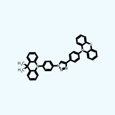 CC1(C)c2ccccc2N(c2ccc(-n3cc(-c4ccc(N5c6ccccc6Sc6ccccc65)cc4)nn3)cc2)c2ccccc21